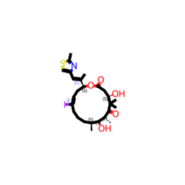 C/C(=C\c1csc(C)n1)[C@@H]1C/C=C(/I)CCC[C@H](C)[C@H](O)[C@@H](C)C(=O)C(C)(C)[C@@H](O)CC(=O)O1